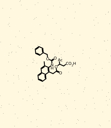 CC(=O)C(CC(=O)O)OC(=O)Cc1c(NC(=O)OCc2ccccc2)c(C)cc2ccccc12